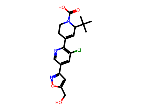 CC(C)(C)C1C=C(c2ncc(-c3cc(CO)on3)cc2Cl)CCN1C(=O)O